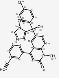 C#Cc1cccc(-c2cc(=O)n(C)c3ncc([C@@](O)(c4ccc(Cl)cc4)c4cncn4C)cc23)c1